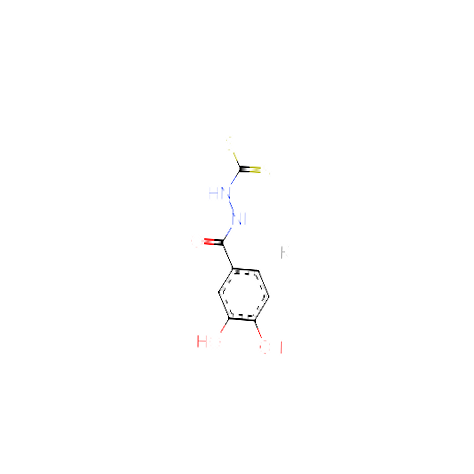 O=C(NNC(=S)[S-])c1ccc(O)c(O)c1.[K+]